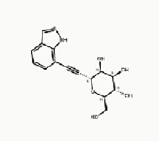 OC[C@H]1O[C@H](C#Cc2cccc3cn[nH]c23)[C@@H](O)[C@@H](O)[C@@H]1O